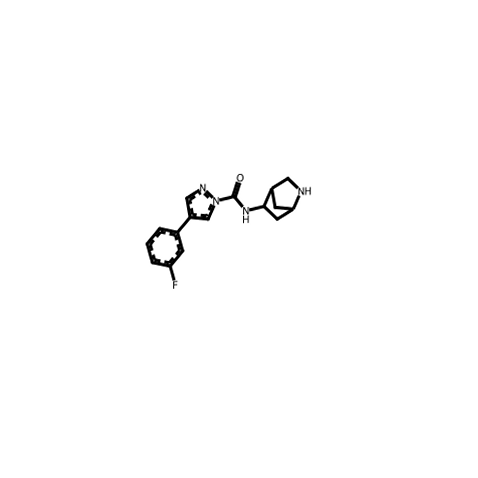 O=C(NC1CC2CC1CN2)n1cc(-c2cccc(F)c2)cn1